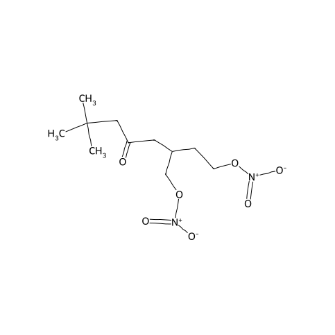 CC(C)(C)CC(=O)CC(CCO[N+](=O)[O-])CO[N+](=O)[O-]